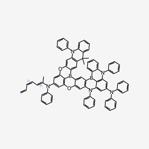 C=C/C=C\C=C(/C)N(c1ccccc1)c1cc2c3c(c1)Oc1cc4c(cc1B3c1cc3c(cc1O2)N(c1ccccc1)c1cc(N(c2ccccc2)c2ccccc2)cc2c1B3c1ccccc1N2c1ccccc1)C(C)(C)c1ccccc1N4c1ccccc1